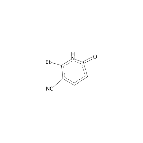 CCc1[nH]c(=O)ccc1C#N